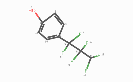 Oc1ccc(C(F)(F)C(F)(F)C(F)F)cc1